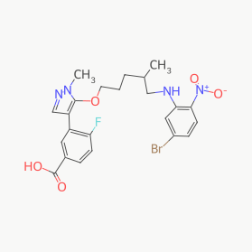 CC(CCCOc1c(-c2cc(C(=O)O)ccc2F)cnn1C)CNc1cc(Br)ccc1[N+](=O)[O-]